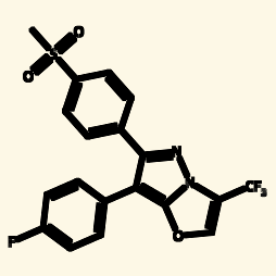 CS(=O)(=O)c1ccc(-c2nn3c(C(F)(F)F)coc3c2-c2ccc(F)cc2)cc1